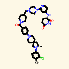 C[C@@H]1CC2(CCN(c3ccc(C(=O)N4CCC(CN5CCN(c6cc(N[C@H]7CCC(=O)NC7=O)ccn6)CC5)CC4)cc3)CC2)CN1c1ccc(C#N)c(Cl)c1